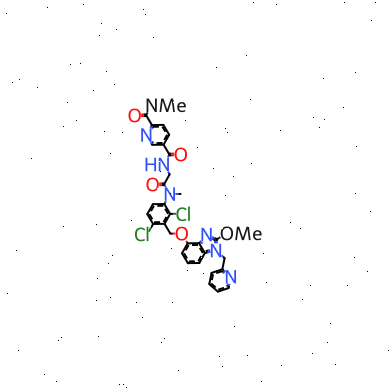 CNC(=O)c1ccc(C(=O)NCC(=O)N(C)c2ccc(Cl)c(COc3cccc4c3nc(OC)n4Cc3ccccn3)c2Cl)cn1